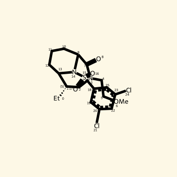 CC[C@H]1CN(CCOC)C(=O)C2CCCC1N2S(=O)(=O)c1cc(Cl)cc(Cl)c1